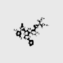 Cc1nc(C2OC3COC(c4ccccc4)OC3C(N(N)/C=C(\N)c3csc(N(C(=O)OC(C)(C)C)C(=O)OC(C)(C)C)n3)C2O)n(-c2cc(Cl)ccc2C(F)(F)F)n1